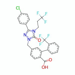 O=C(O)c1ccc(Cn2nc(-c3ccc(Cl)cc3)n(CCC(F)(F)F)c2=O)cc1-c1ccccc1C(F)(F)F